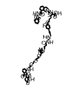 O=C(CCCn1cc(COCCOCCOCCNc2cccc3c2C(=O)N(C2CCC(=O)NC2=O)C3=O)nn1)NCCNCC#Cc1ccc(OCCCc2sc(N3CCc4cccc(C(=O)Nc5nc6ccccc6s5)c4C3)nc2C(=O)O)c(F)c1